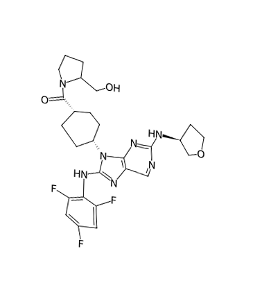 O=C([C@H]1CC[C@@H](n2c(Nc3c(F)cc(F)cc3F)nc3cnc(N[C@H]4CCOC4)nc32)CC1)N1CCCC1CO